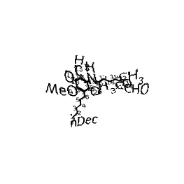 CCCCCCCCCCCCCCCCC1=C(OC)C(=O)C(C)=C(NCCCCC(C)(C)OC=O)C1=O